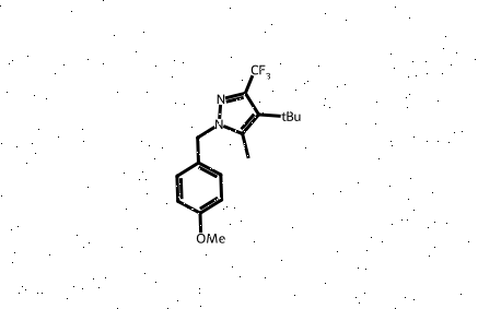 COc1ccc(Cn2nc(C(F)(F)F)c(C(C)(C)C)c2C)cc1